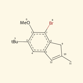 COc1c(C(C)(C)C)cc2c(c1Br)CC(C)=C2